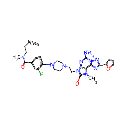 CNCCN(C)C(=O)c1ccc(N2CCN(CCn3c(=O)n(C)c4c3nc(N)n3nc(-c5ccco5)nc43)CC2)c(F)c1